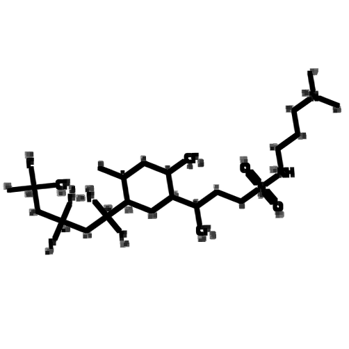 CC1CC(C(F)(F)F)C(C(CCS(=O)(=O)NCCCN(C)C)C(F)(F)F)CC1C(F)(F)CC(F)(F)CC(C)(F)C(F)(F)F